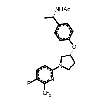 CC(=O)N[C@@H](C)c1ccc(O[C@@H]2CCN(c3ccc(F)c(C(F)(F)F)n3)C2)cc1